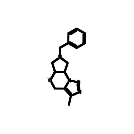 Cc1nnn2c1COC1CN(Cc3ccccc3)CC12